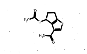 NC(=O)c1csc2c1C(OC(=O)C(F)(F)F)CC2